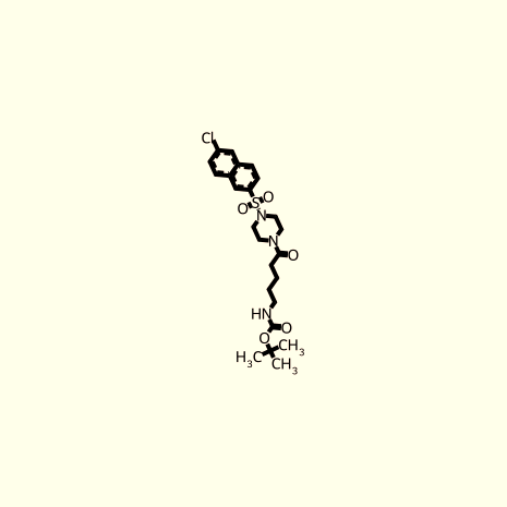 CC(C)(C)OC(=O)NCCCCC(=O)N1CCN(S(=O)(=O)c2ccc3cc(Cl)ccc3c2)CC1